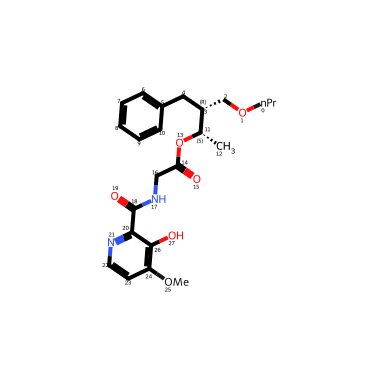 CCCOC[C@@H](Cc1ccccc1)[C@H](C)OC(=O)CNC(=O)c1nccc(OC)c1O